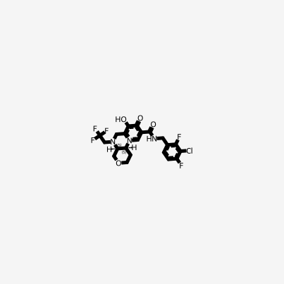 O=C(NCc1ccc(F)c(Cl)c1F)c1cn2c(c(O)c1=O)CN(CC(F)(F)F)[C@@H]1COCC[C@@H]12